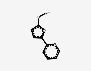 CCCOc1ccc(-c2ccccn2)s1